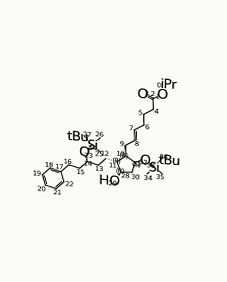 CC(C)OC(=O)CCCC=CC[C@@H]1[C@@H](CCC(CCc2ccccc2)O[Si](C)(C)C(C)(C)C)[C@H](O)C[C@@H]1O[Si](C)(C)C(C)(C)C